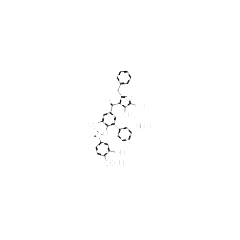 Cc1cc(C(=O)c2c(Cc3ccccc3)oc(C)c2C)cc(-c2ccccc2)c1OS(=O)(=O)c1ccc(C(=O)O)c(O)c1.[NaH]